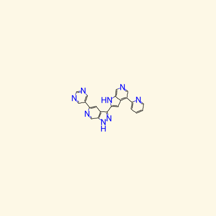 c1ccc(-c2cncc3[nH]c(-c4n[nH]c5cnc(-c6cncnc6)cc45)cc23)nc1